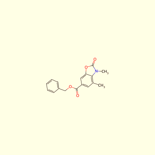 Cc1cc(C(=O)OCc2ccccc2)cc2oc(=O)n(C)c12